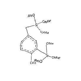 COc1ccc(C[Si](OC)(OC)OC)cc1[Si](OC)(OC)OC